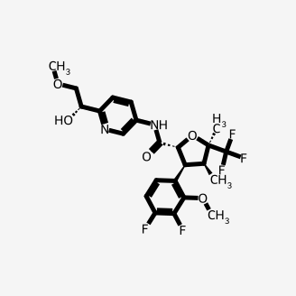 COC[C@@H](O)c1ccc(NC(=O)[C@@H]2O[C@@](C)(C(F)(F)F)[C@@H](C)[C@H]2c2ccc(F)c(F)c2OC)cn1